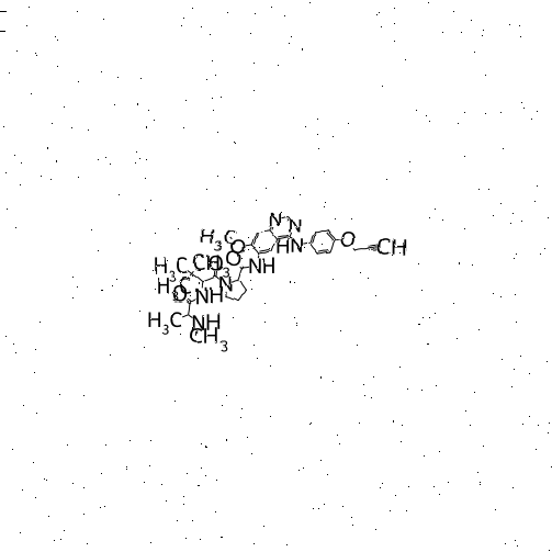 C#CCOc1ccc(Nc2ncnc3cc(OC)c(NC(=O)C4CCCN4C(=O)C(NC(=O)C(C)NC)C(C)(C)C)cc23)cc1